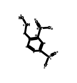 O=[N+]([O-])c1ccc(CNO)c([N+](=O)[O-])c1